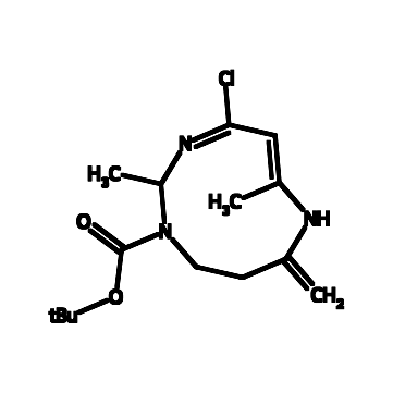 C=C1CCN(C(=O)OC(C)(C)C)C(C)/N=C(Cl)\C=C(/C)N1